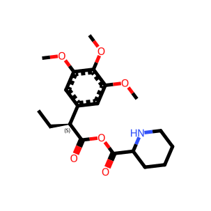 CC[C@H](C(=O)OC(=O)C1CCCCN1)c1cc(OC)c(OC)c(OC)c1